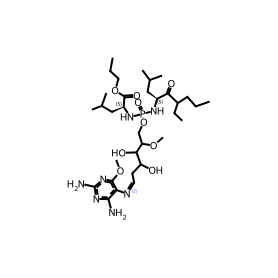 CCCOC(=O)[C@H](CC(C)C)NP(=O)(N[C@@H](CC(C)C)C(=O)C(CC)CCC)OCC(OC)C(O)C(O)C/C=N\c1c(N)nc(N)nc1OC